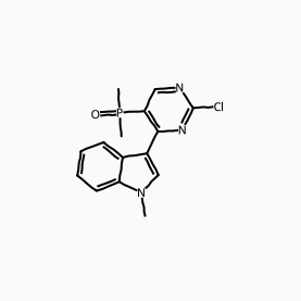 Cn1cc(-c2nc(Cl)ncc2P(C)(C)=O)c2ccccc21